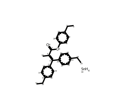 CCc1ccc(OC(=O)C(C)=C(c2ccc(CC)cc2)c2ccc(CC)cc2)cc1.[SnH4]